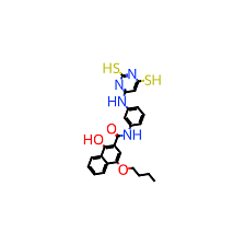 CCCCOc1cc(C(=O)Nc2cccc(Nc3cc(S)nc(S)n3)c2)c(O)c2ccccc12